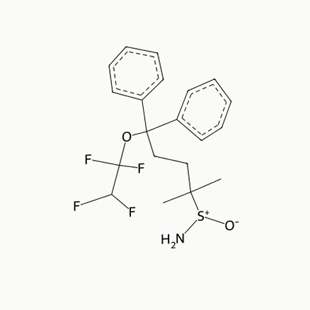 CC(C)(CCC(OC(F)(F)C(F)F)(c1ccccc1)c1ccccc1)[S+](N)[O-]